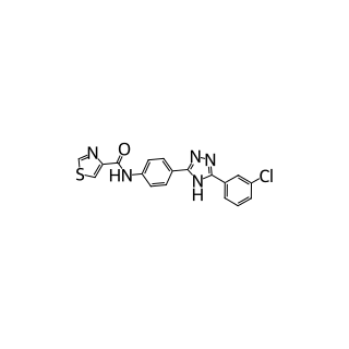 O=C(Nc1ccc(-c2nnc(-c3cccc(Cl)c3)[nH]2)cc1)c1cscn1